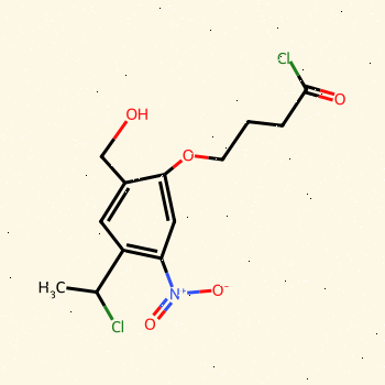 CC(Cl)c1cc(CO)c(OCCCC(=O)Cl)cc1[N+](=O)[O-]